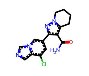 NC(=O)c1c(-c2cc(Cl)c3cncn3c2)nn2c1CCCC2